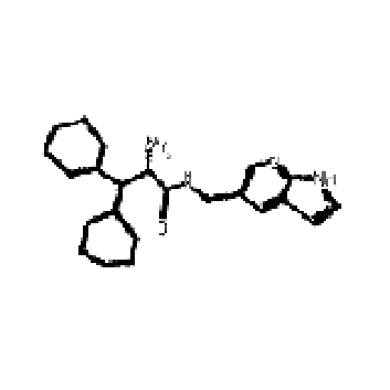 N[C@@H](C(=O)NCc1cnc2[nH]ccc2c1)C(C1CCCCC1)C1CCCCC1